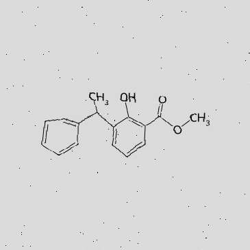 COC(=O)c1cccc(C(C)c2ccccc2)c1O